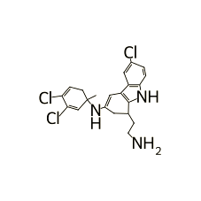 CC1(NC2=Cc3c([nH]c4ccc(Cl)cc34)C(CCN)C2)C=C(Cl)C(Cl)=CC1